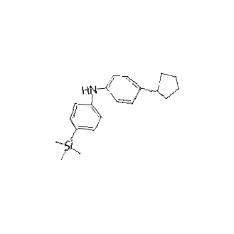 C[Si](C)(C)c1ccc(Nc2ccc(C3CCCC3)cc2)cc1